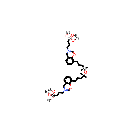 CCO[Si](CCCN1COc2c(CCC[Si](C)(C)O[Si](C)(C)CCCc3cccc4c3OCN(CCC[Si](OCC)(OCC)OCC)C4)cccc2C1)(OCC)OCC